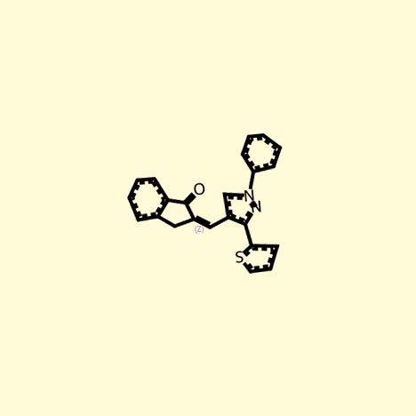 O=C1/C(=C\c2cn(-c3ccccc3)nc2-c2cccs2)Cc2ccccc21